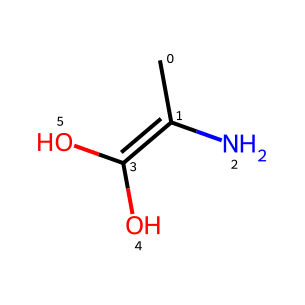 CC(N)=C(O)O